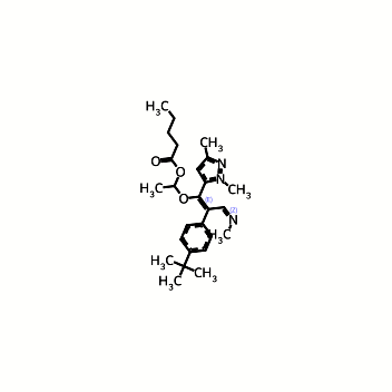 CCCCC(=O)OC(C)O/C(=C(/C=N\C)c1ccc(C(C)(C)C)cc1)c1cc(C)nn1C